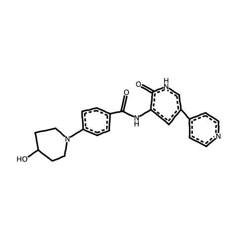 O=C(Nc1cc(-c2ccncc2)c[nH]c1=O)c1ccc(N2CCC(O)CC2)cc1